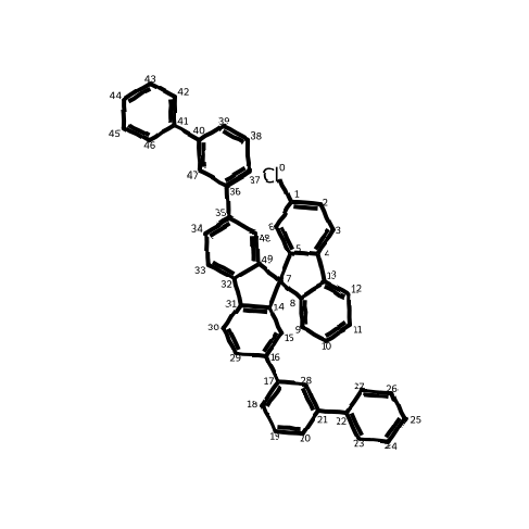 Clc1ccc2c(c1)C1(c3ccccc3-2)c2cc(-c3cccc(-c4ccccc4)c3)ccc2-c2ccc(-c3cccc(-c4ccccc4)c3)cc21